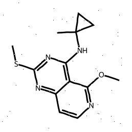 COc1nccc2nc(SC)nc(NC3(C)CC3)c12